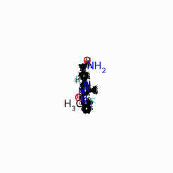 C[C@@H]1c2ccccc2[C@H](F)CN1C(=O)c1cc(C2CC2)n2nc(-c3ccc([C@H]4C[C@@H]4C(N)=O)cc3F)cc2n1